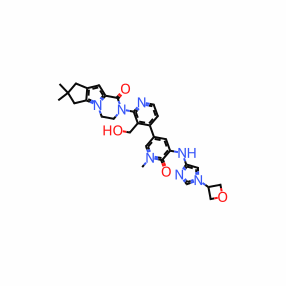 Cn1cc(-c2ccnc(N3CCn4c(cc5c4CC(C)(C)C5)C3=O)c2CO)cc(Nc2cn(C3COC3)cn2)c1=O